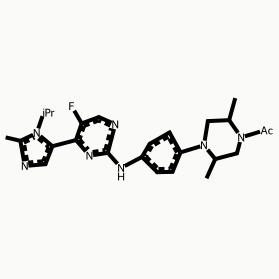 CC(=O)N1CC(C)N(c2ccc(Nc3ncc(F)c(-c4cnc(C)n4C(C)C)n3)cc2)CC1C